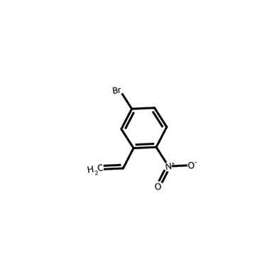 C=Cc1cc(Br)ccc1[N+](=O)[O-]